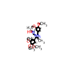 COc1ccc(-c2nc(C)c(-c3cc(OC)c(OC)c(OC)c3)n2C=NO)cc1OC